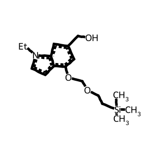 CCn1ccc2c(OCOCC[Si](C)(C)C)cc(CO)cc21